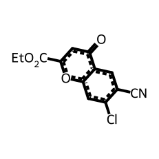 CCOC(=O)c1cc(=O)c2cc(C#N)c(Cl)cc2o1